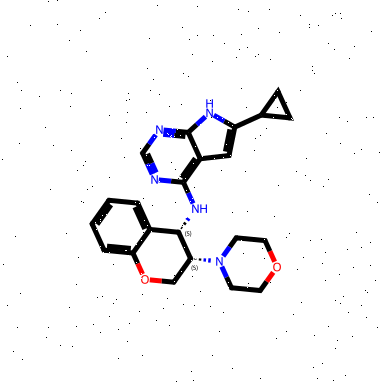 c1ccc2c(c1)OC[C@@H](N1CCOCC1)[C@H]2Nc1ncnc2[nH]c(C3CC3)cc12